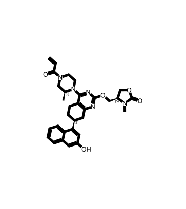 C=CC(=O)N1CCN(c2nc(OC[C@H]3COC(=O)N3C)nc3c2CC[C@H](c2cc(O)cc4ccccc24)C3)[C@@H](C)C1